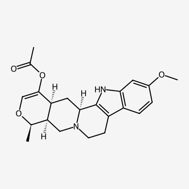 COc1ccc2c3c([nH]c2c1)[C@@H]1C[C@@H]2C(OC(C)=O)=CO[C@H](C)[C@@H]2CN1CC3